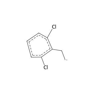 [CH2]Cc1c(Cl)cccc1Cl